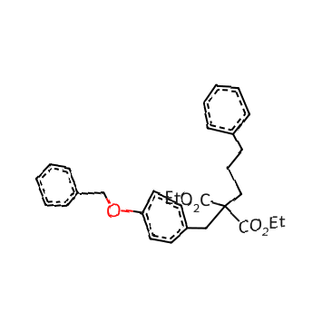 CCOC(=O)C(CCCc1ccccc1)(Cc1ccc(OCc2ccccc2)cc1)C(=O)OCC